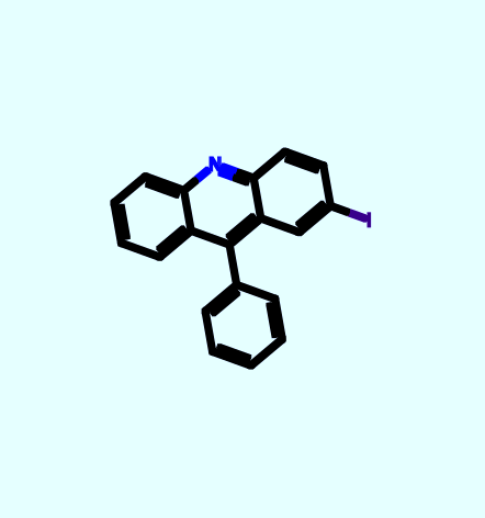 Ic1ccc2nc3ccccc3c(-c3ccccc3)c2c1